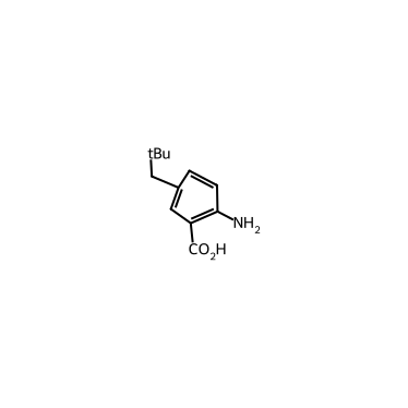 CC(C)(C)Cc1ccc(N)c(C(=O)O)c1